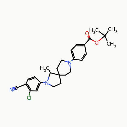 C[C@@H]1N(c2ccc(C#N)c(Cl)c2)CCC12CCN(c1ccc(C(=O)OC(C)(C)C)cc1)CC2